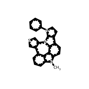 Cn1c2cccc3c4cscc4n4c5c(ccc1c5c32)c1ccn(-c2ccccc2)c14